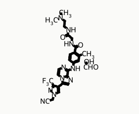 Cc1cc(Nc2nccn3c(-c4cn(CC#N)nc4C(F)(F)F)cnc23)ccc1C(=O)NCC(=O)NCCN(C)C.O=CO